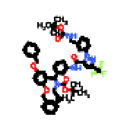 CC(C)(C)OC(=O)NCc1cccc(-n2nc(C(F)(F)F)cc2C(=O)Nc2cccc(C(c3cc(OCc4ccccc4)ccc3OCc3ccccc3)N(CC3CC3)C(=O)OC(C)(C)C)c2)c1